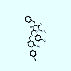 COC(=O)[C@H](Cc1ccccc1)NC(=O)COCC1=CC[C@@H](c2ccc(Cl)cc2)N(S)[C@H]1c1cccc(Cl)c1